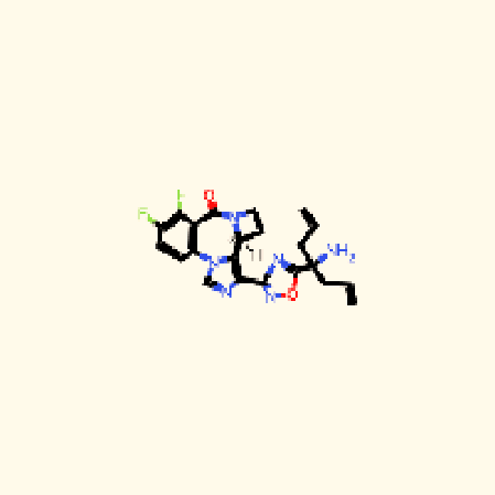 C=CCC(N)(CC=C)c1nc(-c2ncn3c2[C@@H]2CCN2C(=O)c2c-3ccc(F)c2F)no1